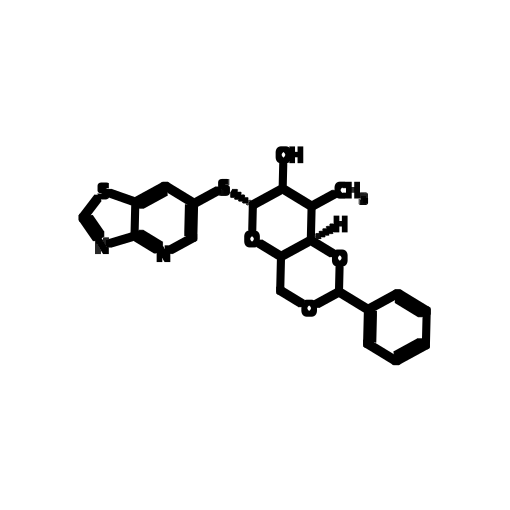 CC1C(O)[C@@H](Sc2cnc3ncsc3c2)OC2COC(c3ccccc3)O[C@@H]21